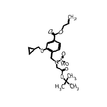 C=CCOC(=O)c1ccc(CN(CC(=O)OC(C)(C)C)[SH](=O)=O)c(OCC2CC2)c1